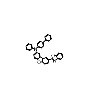 c1ccc(-c2ccc(N(c3ccccc3)c3ccc4oc5ccc(-c6nc7ccccc7o6)cc5c4c3)cc2)cc1